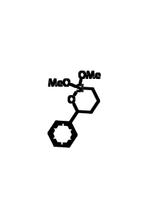 CO[Si]1(OC)CCCC(c2ccccc2)O1